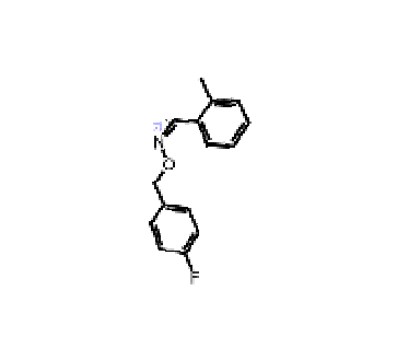 Cc1ccccc1/[C]=N\OCc1ccc(F)cc1